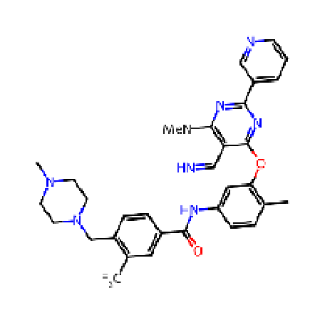 CNc1nc(-c2cccnc2)nc(Oc2cc(NC(=O)c3ccc(CN4CCN(C)CC4)c(C(F)(F)F)c3)ccc2C)c1C=N